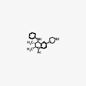 CC(=O)N1c2ccc(N3CCNCC3)cc2[C@H](Nc2ccccc2)[C@@H](C)[C@@H]1C